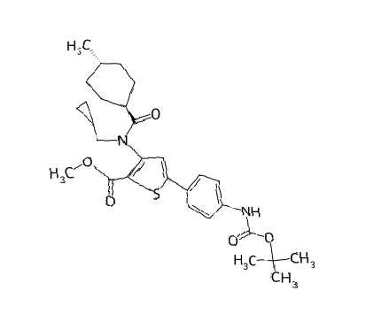 COC(=O)c1sc(-c2ccc(NC(=O)OC(C)(C)C)cc2)cc1N(CC1CC1)C(=O)[C@H]1CC[C@H](C)CC1